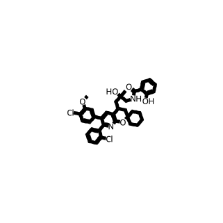 COc1cc(-c2cc3c(nc2-c2ccccc2Cl)OC2(CCCCC2)CC3CC(C)(O)CNC(=O)c2ccccc2O)ccc1Cl